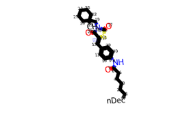 CCCCCCCCCCCCCCCC(=O)Nc1ccc(/C=C2\SC(=O)N(CC3(C)CCCCC3)C2=O)cc1